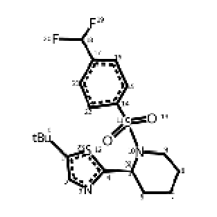 CC(C)(C)c1cnc([C@@H]2CCCCN2S(=O)(=O)c2ccc(C(F)F)cc2)s1